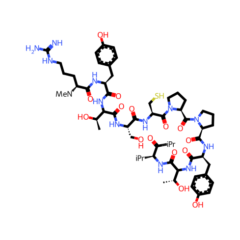 CN[C@@H](CCCNC(=N)N)C(=O)N[C@@H](Cc1ccc(O)cc1)C(=O)NC(C(=O)N[C@@H](CO)C(=O)N[C@@H](CS)C(=O)N1CCC[C@H]1C(=O)N1CCC[C@H]1C(=O)N[C@@H](Cc1ccc(O)cc1)C(=O)NC(C(=O)N[C@H](C(=O)C(C)C)C(C)C)[C@@H](C)O)[C@@H](C)O